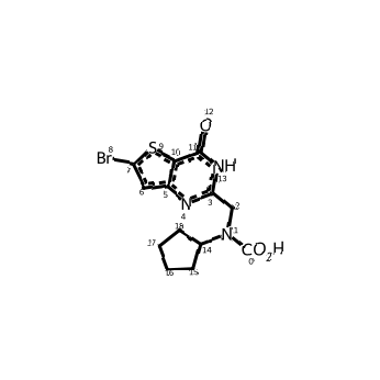 O=C(O)N(Cc1nc2cc(Br)sc2c(=O)[nH]1)C1CCCC1